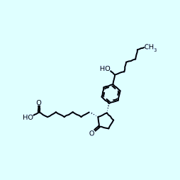 CCCCCC(O)c1ccc([C@@H]2CCC(=O)[C@@H]2CCCCCCC(=O)O)cc1